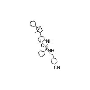 Cc1c(-c2cnc3c(c2)NC[C@@H]([C@H](NCCc2ccc(C#N)cc2)c2ccccc2)O3)cnn1-c1ccccc1